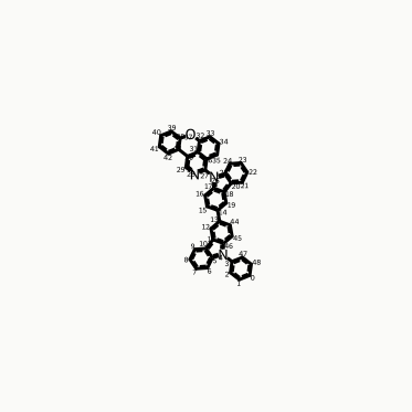 c1ccc(-n2c3ccccc3c3cc(-c4ccc5c(c4)c4ccccc4n5-c4ncc5c6c(cccc46)Oc4ccccc4-5)ccc32)cc1